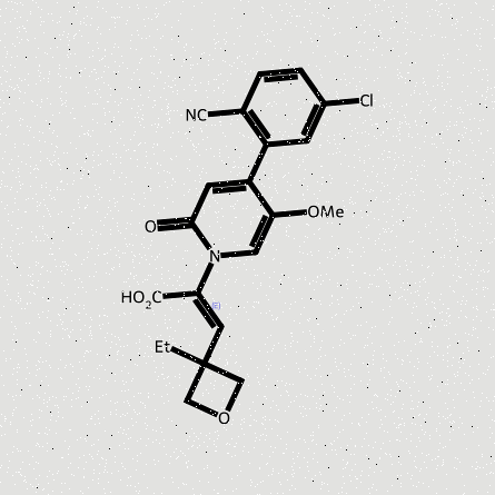 CCC1(/C=C(\C(=O)O)n2cc(OC)c(-c3cc(Cl)ccc3C#N)cc2=O)COC1